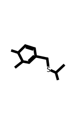 CC(C)SCC1=CC(C)C(C)C=C1